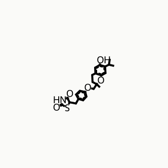 CC(C)c1cc2c(cc1O)CCC(C)(COc1ccc(CC3SC(=O)NC3=O)cc1)O2